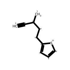 C#CC(C)C[CH]c1cccs1